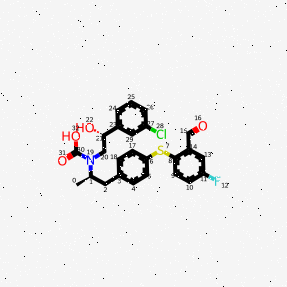 C[C@H](Cc1ccc(Sc2ccc(F)cc2C=O)cc1)N(C[C@H](O)c1cccc(Cl)c1)C(=O)O